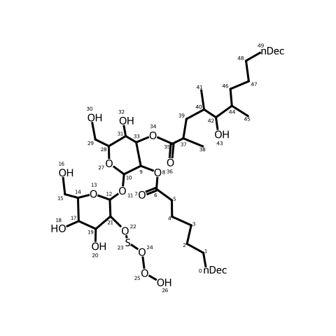 CCCCCCCCCCCCCCCC(=O)OC1C(OC2OC(CO)C(O)C(O)C2OSOOO)OC(CO)C(O)C1OC(=O)C(C)CC(C)C(O)C(C)CCCCCCCCCCCCC